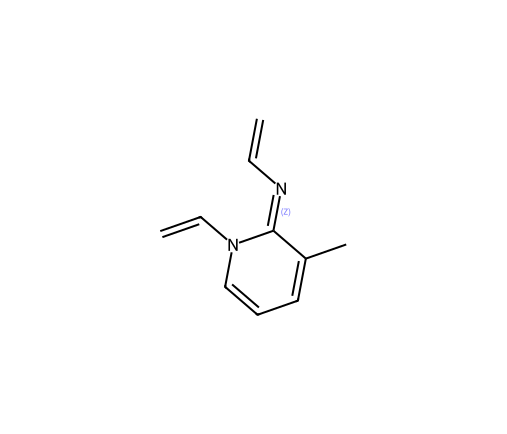 C=C/N=c1/c(C)cccn1C=C